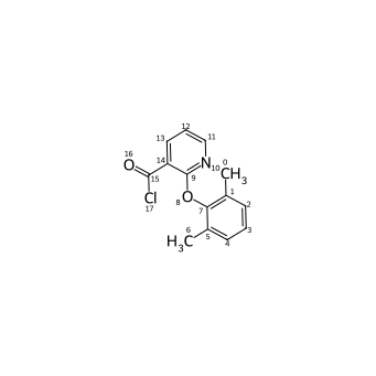 Cc1cccc(C)c1Oc1ncccc1C(=O)Cl